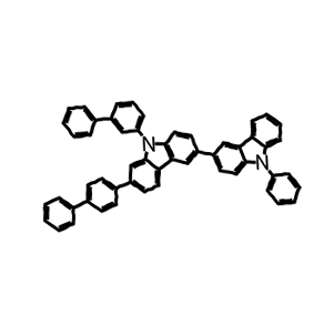 c1ccc(-c2ccc(-c3ccc4c5cc(-c6ccc7c(c6)c6ccccc6n7-c6ccccc6)ccc5n(-c5cccc(-c6ccccc6)c5)c4c3)cc2)cc1